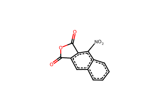 O=C1OC(=O)c2c1cc1ccccc1c2[N+](=O)[O-]